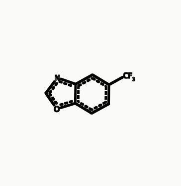 FC(F)(F)c1ccc2ocnc2c1